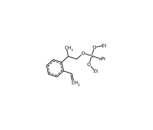 C=Cc1ccccc1C(C)CO[Si](CCC)(OCC)OCC